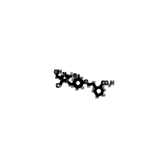 CCCCc1nc(CO)c(Cl)n1Cc1ccc(OCCC2CCCCC2C(=O)O)cc1